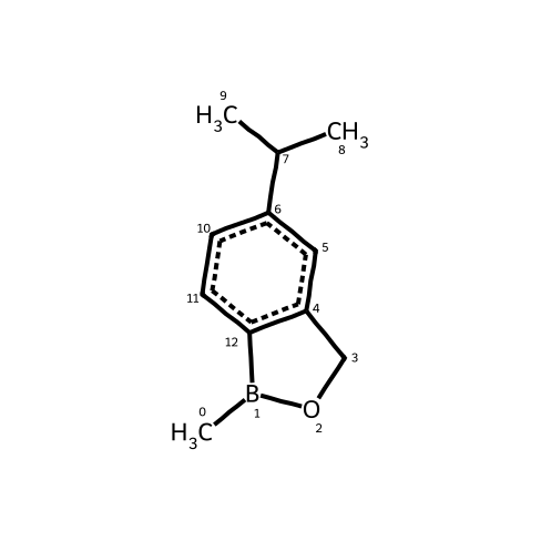 CB1OCc2cc(C(C)C)ccc21